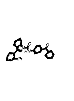 CC(C)c1ccccc1-c1cn(C(=O)Nc2ccc(C(=O)c3ccccc3)cc2)c2ccccc12